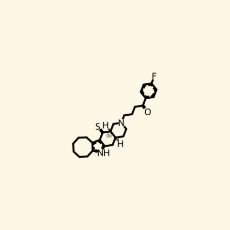 O=C(CCCN1CC[C@H]2Cc3[nH]c4c(c3C(=S)[C@@H]2C1)CCCCCC4)c1ccc(F)cc1